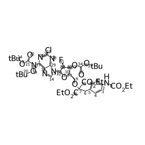 CCOC(=O)Nc1ccc(CC(OC[C@H]2O[C@@H](n3cnc4c(N(OC(C)(C)C)C(=O)OC(C)(C)C)nc(Cl)nc43)[C@@H](F)[C@@H]2OC(=O)OC(C)(C)C)(C(=O)OCC)C(=O)OCC)cc1